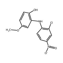 COc1ccc(O)c(Nc2ccc([N+](=O)[O-])cc2Cl)c1